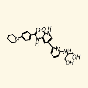 O=C(Nc1cc(-c2cccc(NC(CO)CO)n2)c[nH]c1=O)c1ccc(N2CCCCC2)cc1